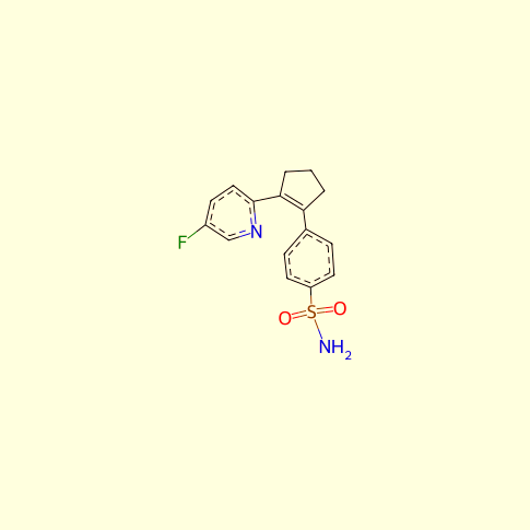 NS(=O)(=O)c1ccc(C2=C(c3ccc(F)cn3)CCC2)cc1